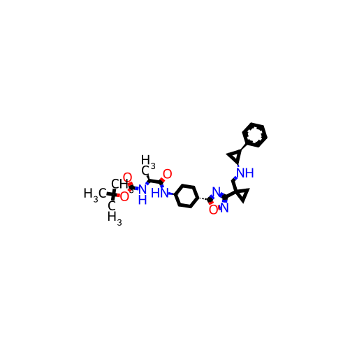 C[C@H](NC(=O)OC(C)(C)C)C(=O)N[C@H]1CC[C@H](c2nc(C3(CN[C@@H]4C[C@H]4c4ccccc4)CC3)no2)CC1